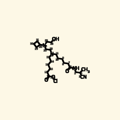 CC(C#N)CNC(=O)CCCCCN(CCCCCC(=O)OCl)CCN(CCO)C1CCC1